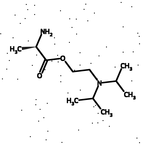 CC(C)N(CCOC(=O)[C@H](C)N)C(C)C